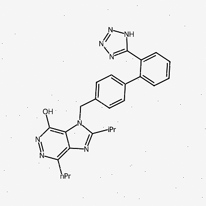 CCCc1nnc(O)c2c1nc(C(C)C)n2Cc1ccc(-c2ccccc2-c2nnn[nH]2)cc1